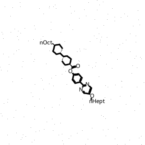 CCCCCCCC[C@H]1CC[C@H]([C@H]2CC[C@H](C(=O)Oc3ccc(-c4ncc(OCCCCCCC)cn4)cc3)CC2)CC1